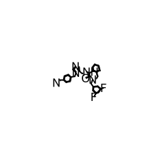 N#Cc1ccc(Cn2cncc2CNC2C(=O)N(Cc3cc(F)cc(F)c3)CCc3ccccc32)cc1